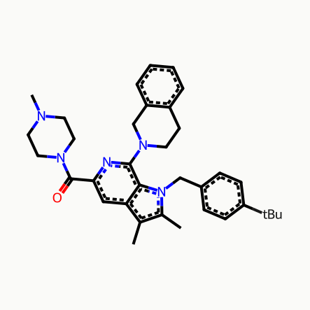 Cc1c(C)n(Cc2ccc(C(C)(C)C)cc2)c2c(N3CCc4ccccc4C3)nc(C(=O)N3CCN(C)CC3)cc12